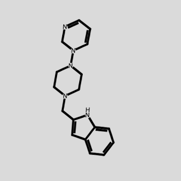 C1=CN(N2CCN(Cc3cc4ccccc4[nH]3)CC2)CN=C1